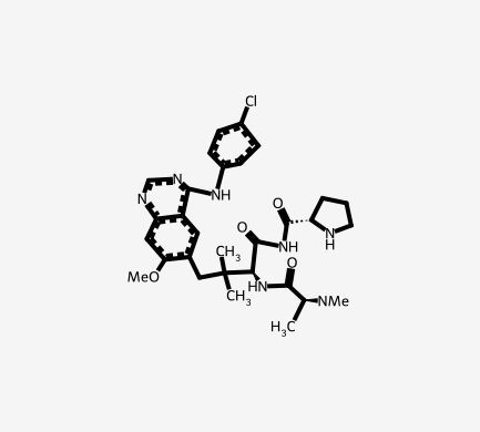 CN[C@@H](C)C(=O)N[C@H](C(=O)NC(=O)[C@@H]1CCCN1)C(C)(C)Cc1cc2c(Nc3ccc(Cl)cc3)ncnc2cc1OC